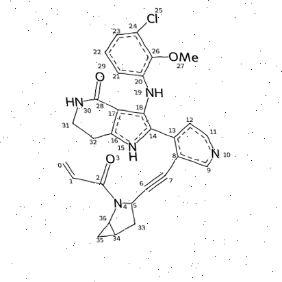 C=CC(=O)N1C(C#Cc2cnccc2-c2[nH]c3c(c2Nc2cccc(Cl)c2OC)C(=O)NCC3)CC2CC21